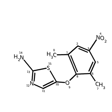 Cc1cc([N+](=O)[O-])cc(C)c1Oc1cnc(N)s1